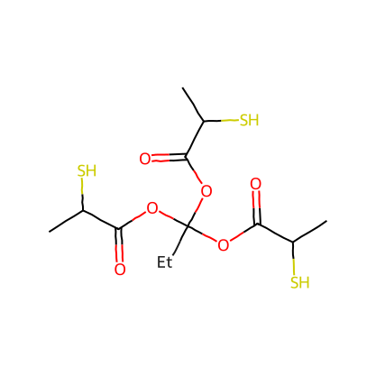 CCC(OC(=O)C(C)S)(OC(=O)C(C)S)OC(=O)C(C)S